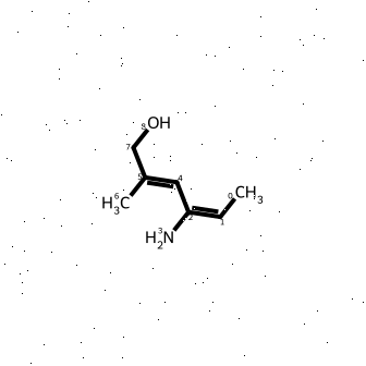 C/C=C(N)\C=C(/C)CO